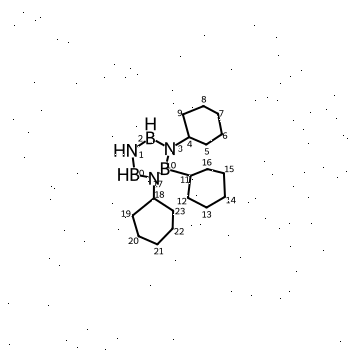 B1NBN(C2CCCCC2)B(C2CCCCC2)N1C1CCCCC1